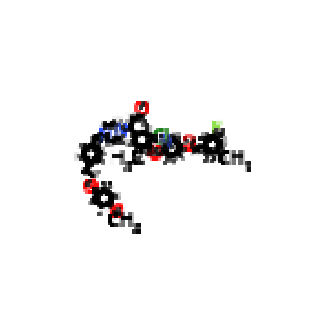 COc1ccc(OCCc2ccc(CN3CCN(/C(=C/C=O)c4cc(C)c(Oc5ccc(OCc6cc(C)cc(F)c6)cn5)c(Cl)c4)CC3)cc2)cc1